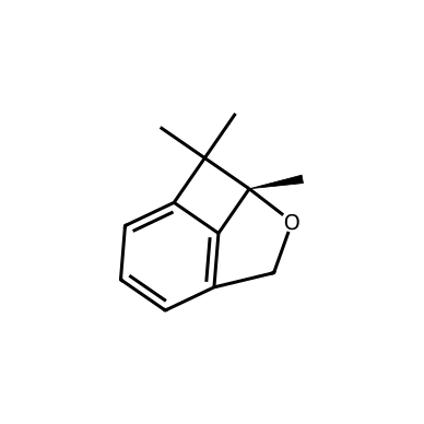 CC1(C)c2cccc3c2[C@@]1(C)OC3